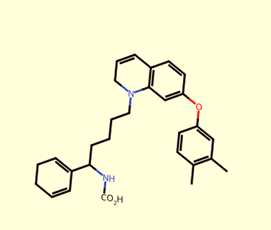 Cc1ccc(Oc2ccc3c(c2)N(CCCCC(NC(=O)O)C2=CCCC=C2)CC=C3)cc1C